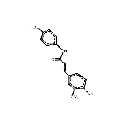 COc1cc(/C=C/C(=O)Nc2ccc(C)cc2)ccc1O